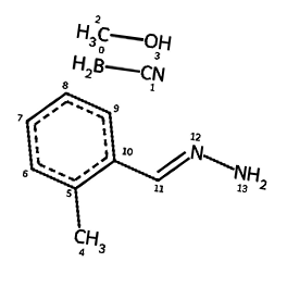 BC#N.CO.Cc1ccccc1C=NN